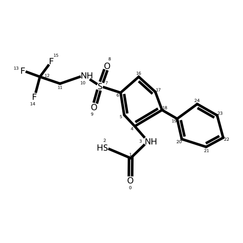 O=C(S)Nc1cc(S(=O)(=O)NCC(F)(F)F)ccc1-c1ccccc1